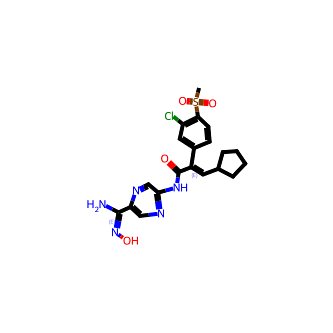 CS(=O)(=O)c1ccc(/C(=C\C2CCCC2)C(=O)Nc2cnc(/C(N)=N\O)cn2)cc1Cl